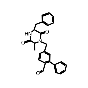 CC1C(=O)NC(Cc2ccccc2)C(=O)N1Cc1ccc(C=O)c(-c2ccccc2)c1